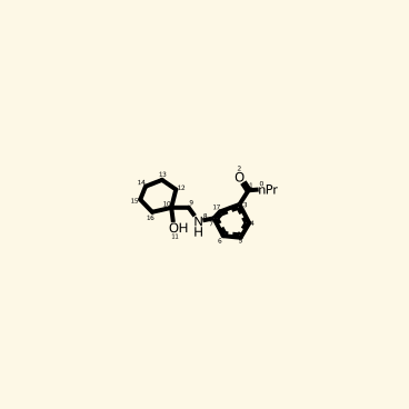 CCCC(=O)c1cccc(NCC2(O)CCCCC2)c1